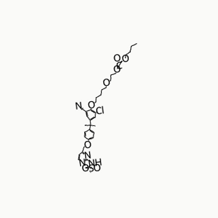 CCCCOC(=O)COCCCOCCCCCOc1c(Cl)cc(C(C)(C)c2ccc(OCc3ccnc(NS(C)(=O)=O)n3)cc2)cc1C#N